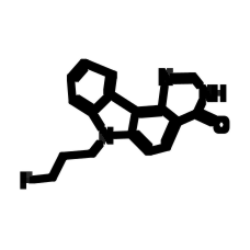 O=c1[nH]cnc2c1ccc1c2c2ccccc2n1CCCF